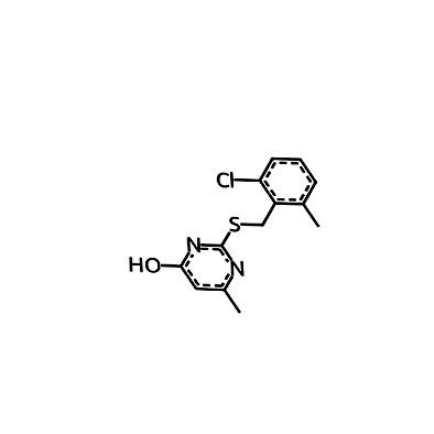 Cc1cc(O)nc(SCc2c(C)cccc2Cl)n1